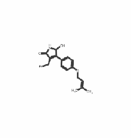 CC(C)=CCOc1ccc(C2=C(CC(C)C)C(=O)NC2O)cc1